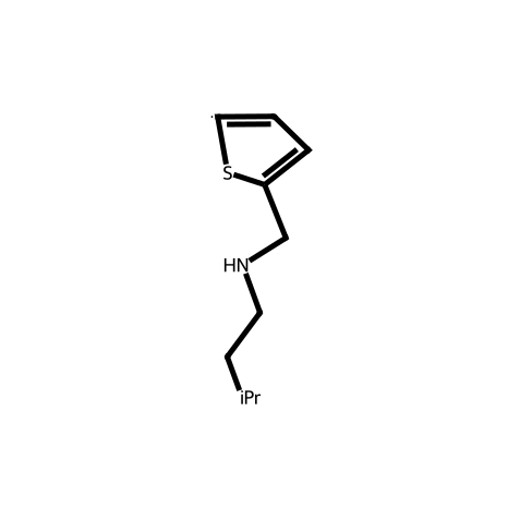 CC(C)CCNCc1cc[c]s1